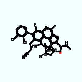 CNC(C)c1cc2c(C)nc3c(F)c(-c4cccc(Cl)c4Cl)c(CCC#N)cc3c2n1[C@H]1[C@@H]2C[C@H]1N(C(=O)O)C2